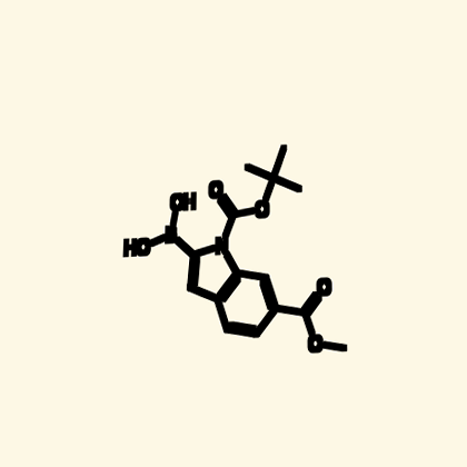 COC(=O)c1ccc2cc(B(O)O)n(C(=O)OC(C)(C)C)c2c1